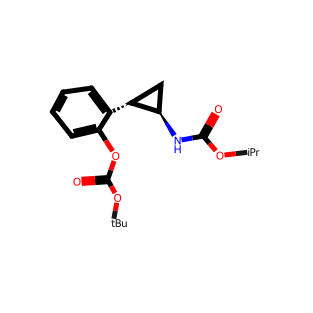 CC(C)OC(=O)N[C@@H]1C[C@H]1c1ccccc1OC(=O)OC(C)(C)C